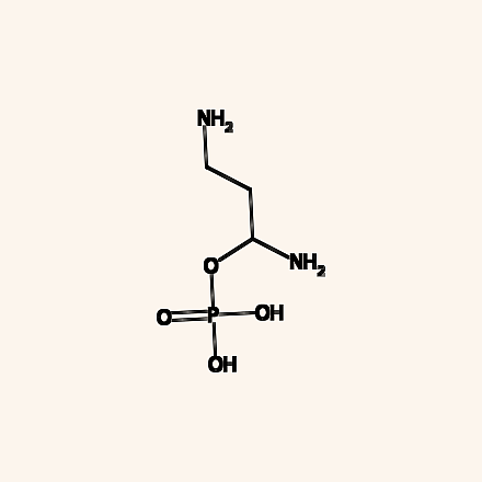 NCCC(N)OP(=O)(O)O